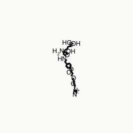 [N-]=[N+]=NCCOCCOCCC(=O)Oc1ccc(CCNCCC(N)(CCCCB(O)O)C(=O)O)cc1